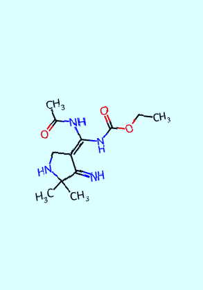 CCOC(=O)N/C(NC(C)=O)=C1/CNC(C)(C)C1=N